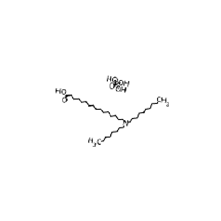 CCCCCCCCCCN(CCCCCCCC)CCCCCCCCCCCCCCCC(=O)O.O=P(O)(O)O